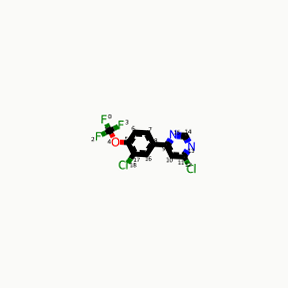 FC(F)(F)Oc1ccc(-c2cc(Cl)ncn2)cc1Cl